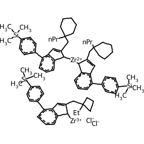 CCC1(CC2=Cc3c(-c4ccc([Si](C)(C)C)cc4)cccc3[CH]2[Zr+3])CCC1.CCCC1(CC2=Cc3c(-c4ccc([Si](C)(C)C)cc4)cccc3[CH]2[Zr+2][CH]2C(CC3(CCC)CCCCC3)=Cc3c(-c4ccc([Si](C)(C)C)cc4)cccc32)CCCCC1.[Cl-].[Cl-]